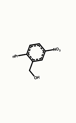 CCCc1ccc([N+](=O)[O-])cc1CO